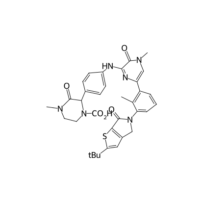 Cc1c(-c2cn(C)c(=O)c(Nc3ccc(C4C(=O)N(C)CCN4C(=O)O)cc3)n2)cccc1N1Cc2cc(C(C)(C)C)sc2C1=O